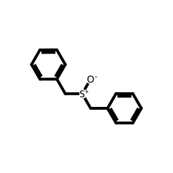 [O-][S+](Cc1ccccc1)Cc1ccccc1